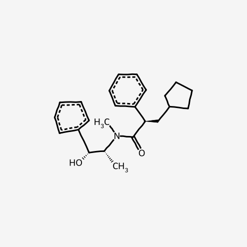 C[C@H]([C@H](O)c1ccccc1)N(C)C(=O)[C@H](CC1CCCC1)c1ccccc1